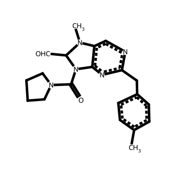 Cc1ccc(Cc2ncc3c(n2)N(C(=O)N2CCCC2)C(C=O)N3C)cc1